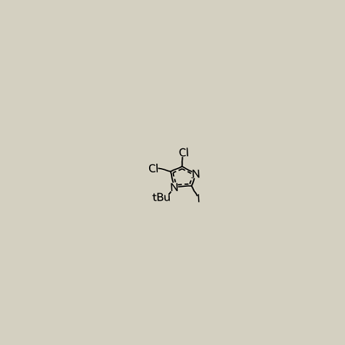 CC(C)(C)n1c(I)nc(Cl)c1Cl